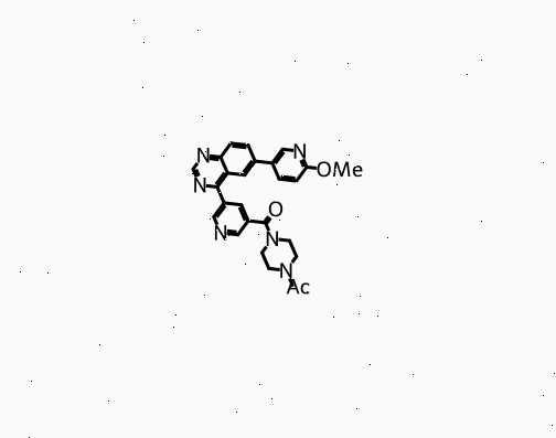 COc1ccc(-c2ccc3ncnc(-c4cncc(C(=O)N5CCN(C(C)=O)CC5)c4)c3c2)cn1